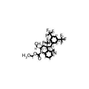 CCOC(=O)N1c2ccccc2[C@]([C@@H](C#N)c2cc(C(F)(F)F)cc(C(F)(F)F)c2)(C(F)(F)F)C[C@H]1CC